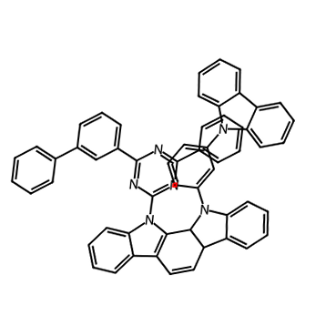 C1=CC2c3ccccc3N(c3cccc(-n4c5ccccc5c5ccccc54)c3)C2c2c1c1ccccc1n2-c1nc(-c2ccccc2)nc(-c2cccc(-c3ccccc3)c2)n1